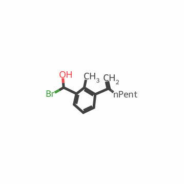 C=C(CCCCC)c1cccc(C(O)Br)c1C